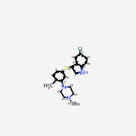 Cc1ccc(Sc2c[nH]c3ccc(Cl)cc23)cc1N1CCN(C(C)(C)C)CC1